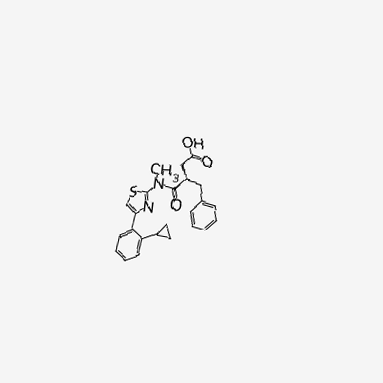 CN(C(=O)[C@@H](CC(=O)O)Cc1ccccc1)c1nc(-c2ccccc2C2CC2)cs1